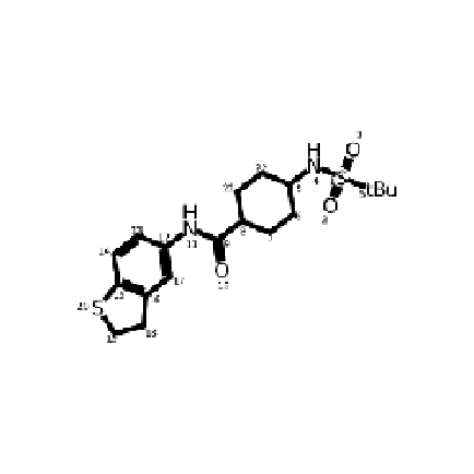 CC(C)(C)S(=O)(=O)NC1CCC(C(=O)Nc2ccc3c(c2)CCS3)CC1